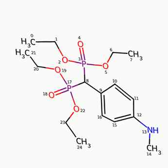 CCOP(=O)(OCC)C(c1ccc(NC)cc1)P(=O)(OCC)OCC